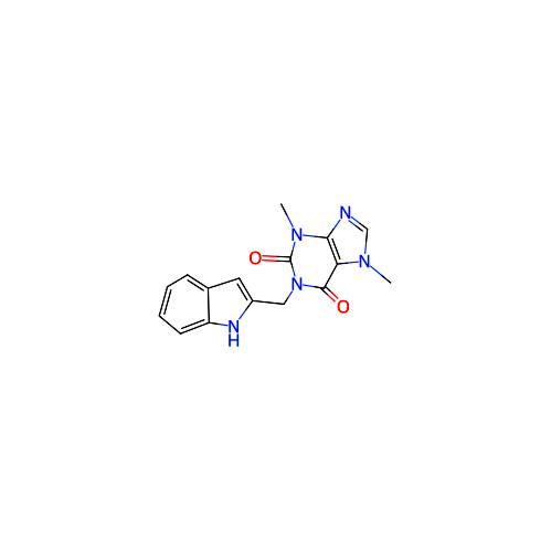 Cn1cnc2c1c(=O)n(Cc1cc3ccccc3[nH]1)c(=O)n2C